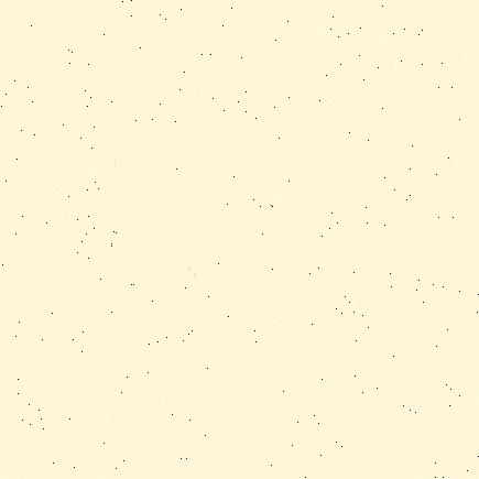 Cc1cc(Br)ccc1S(=O)(=O)N1CCc2cc(F)cc(C)c21